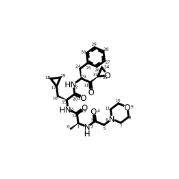 C[C@H](NC(=O)CN1CCOCC1)C(=O)N[C@@H](CC1CC1)C(=O)N[C@@H](Cc1ccccc1)C(=O)[C@H]1CO1